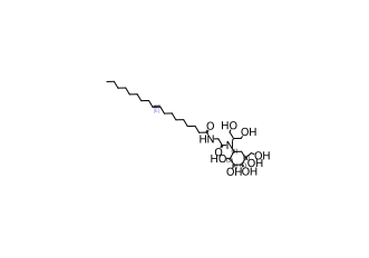 CCCCCCCC/C=C/CCCCCCCC(=O)NCC(=O)N(C(CO)CO)[C@H]1C[C@](O)(CO)[C@@H](O)[C@H](O)[C@H]1O